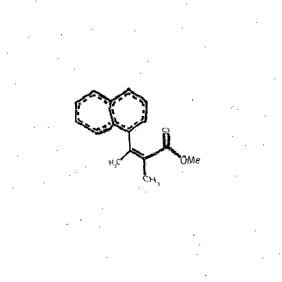 COC(=O)C(C)=C(C)c1cccc2ccccc12